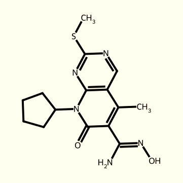 CSc1ncc2c(C)c(C(N)=NO)c(=O)n(C3CCCC3)c2n1